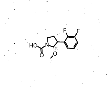 CO[C@H]1C(c2cccc(F)c2F)CCN1C(=O)O